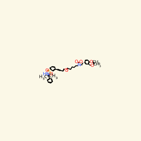 CC1(C)OCc2cc([C@@H]3CN(CCCCCCOCCC#Cc4cccc(S(=O)(=O)NC(C)(C)c5ccccc5)c4)C(=O)O3)ccc2O1